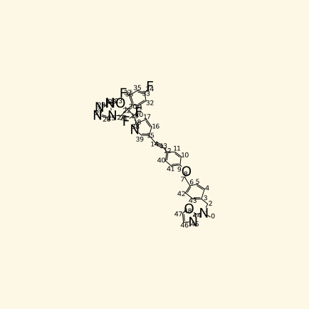 CN(Cc1ccc(COc2ccc(C#Cc3ccc(C(F)(F)C(O)(Cn4cnnn4)c4ccc(F)cc4F)nc3)cc2)cc1)c1ncco1